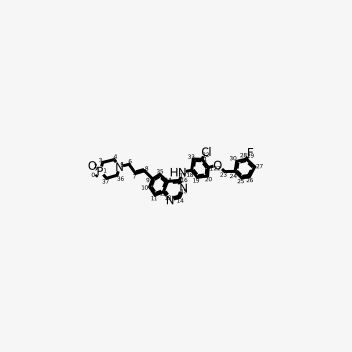 CP1(=O)CCN(C/C=C/c2ccc3ncnc(Nc4ccc(OCc5cccc(F)c5)c(Cl)c4)c3c2)CC1